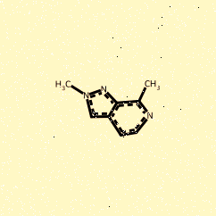 Cc1nccc2cn(C)nc12